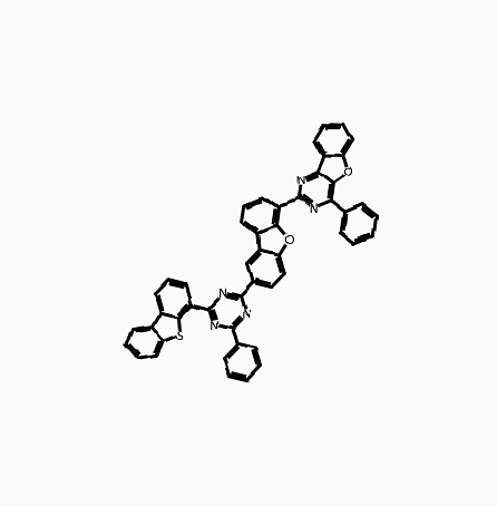 c1ccc(-c2nc(-c3ccc4oc5c(-c6nc(-c7ccccc7)c7oc8ccccc8c7n6)cccc5c4c3)nc(-c3cccc4c3sc3ccccc34)n2)cc1